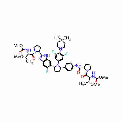 COC(=O)N[C@H](C(=O)N1CCC[C@H]1C(=O)Nc1ccc([C@H]2CC[C@H](c3cc4[nH]c([C@@H]5CCCN5C(=O)[C@@H](NC(=O)OC)[C@@H](C)OC)nc4cc3F)N2c2cc(F)c(N3CC[Si](C)(C)CC3)c(F)c2)cc1)[C@@H](C)OC